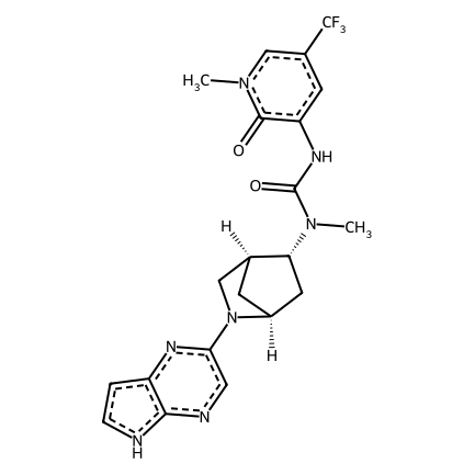 CN(C(=O)Nc1cc(C(F)(F)F)cn(C)c1=O)[C@@H]1C[C@@H]2C[C@H]1CN2c1cnc2[nH]ccc2n1